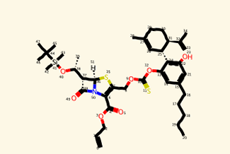 C=CCOC(=O)C1=C(COC(=S)Oc2cc(CCCCC)cc(O)c2[C@@H]2C=C(C)CC[C@H]2C(=C)C)S[C@@H]2[C@@H]([C@@H](C)O[Si](C)(C)C(C)(C)C)C(=O)N12